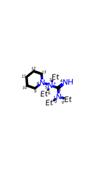 CCN(CC)C(=N)[N+](CC)(CC)N1CCCCC1